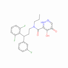 CCCN(CCC(c1cccc(F)c1)c1c(F)cccc1F)C(=O)c1[nH]ncc(=O)c1O